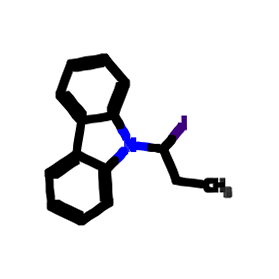 CCC(I)n1c2ccccc2c2ccccc21